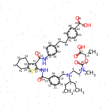 CCC(CC)N(CCN(C)C(=O)O[C@@H](C)C(=O)O)Cc1cccc(C(=O)Nc2sc3c(c2C(=O)Nc2ccc(CCc4ccc(C(=O)O)cc4)cc2)CCCC3)c1